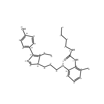 CCCCNC(=O)Nc1c(C)cccc1OCCCn1cnc(-c2ccc(O)cc2)c1CC